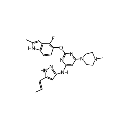 C/C=C/c1cc(Nc2cc(N3CCN(C)CC3)nc(Oc3ccc4[nH]c(C)cc4c3F)n2)n[nH]1